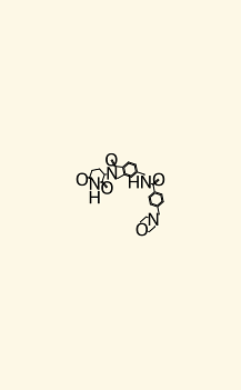 O=C1CCC(N2Cc3cc(CNC(=O)c4ccc(CN5CCOCC5)cc4)ccc3C2=O)C(=O)N1